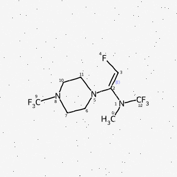 CN(/C(=C/F)N1CCN(C(F)(F)F)CC1)C(F)(F)F